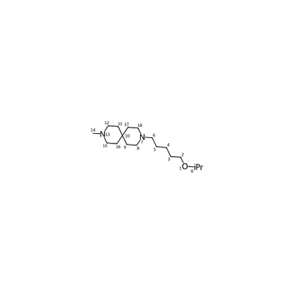 CC(C)OCCCCCN1CCC2(CCN(C)CC2)CC1